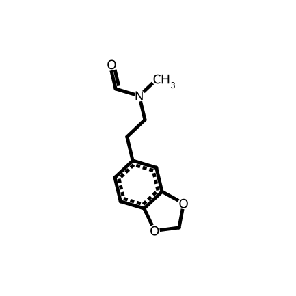 CN(C=O)CCc1ccc2c(c1)OCO2